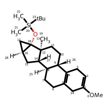 COC1=CCC2=C(CC[C@@H]3[C@@H]2CC[C@@]2(C)[C@H]3C[C@H]3C[C@]32O[Si](C)(C)C(C)(C)C)C1